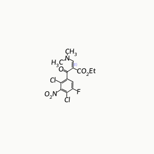 CCOC(=O)/C(=C/N(C)C)C(=O)c1cc(F)c(Cl)c([N+](=O)[O-])c1Cl